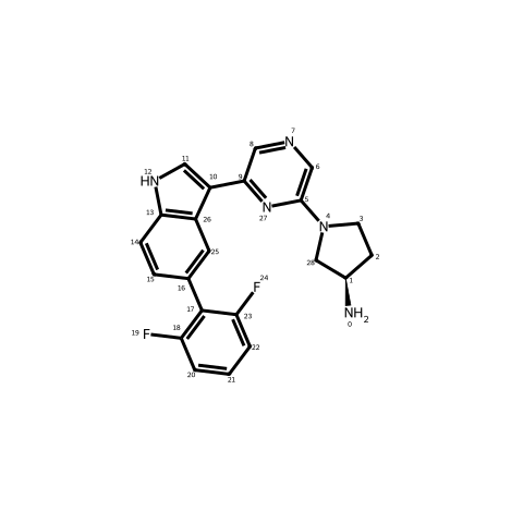 N[C@@H]1CCN(c2cncc(-c3c[nH]c4ccc(-c5c(F)cccc5F)cc34)n2)C1